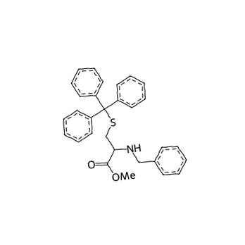 COC(=O)C(CSC(c1ccccc1)(c1ccccc1)c1ccccc1)NCc1ccccc1